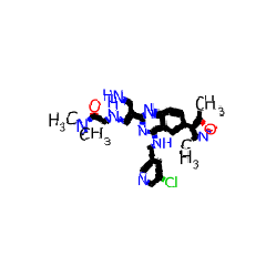 Cc1noc(C)c1-c1ccc2nc(/C(C=N)=C/NCC(=O)N(C)C)nc(NCc3cncc(Cl)c3)c2c1